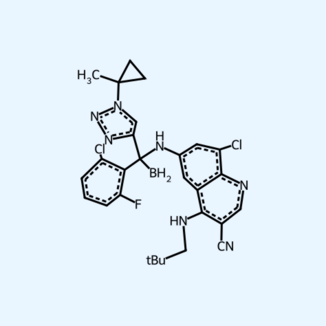 BC(Nc1cc(Cl)c2ncc(C#N)c(NCC(C)(C)C)c2c1)(c1cn(C2(C)CC2)nn1)c1c(F)cccc1Cl